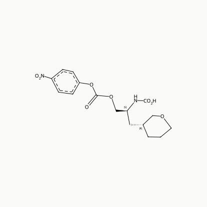 O=C(O)N[C@H](COC(=O)Oc1ccc([N+](=O)[O-])cc1)C[C@H]1CCCOC1